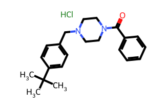 CC(C)(C)c1ccc(CN2CCN(C(=O)c3ccccc3)CC2)cc1.Cl